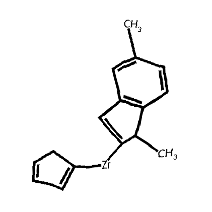 Cc1ccc2c(c1)C=[C]([Zr][C]1=CC=CC1)C2C